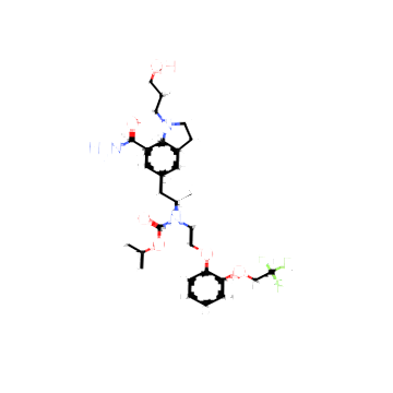 CC(C)OC(=O)N(CCOc1ccccc1OCC(F)(F)F)[C@H](C)Cc1cc2c(c(C(N)=O)c1)N(CCCO)CC2